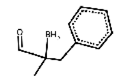 BC(C)(C=O)Cc1ccccc1